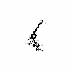 CCCCCCCc1ccc(N(C)C(=O)NC(=N)N)c(Cl)c1